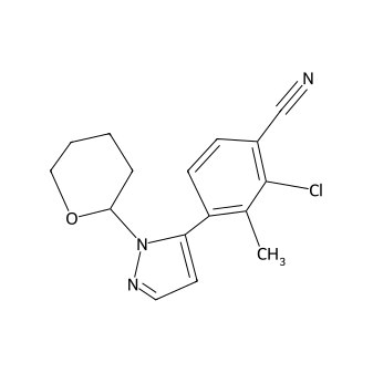 Cc1c(-c2ccnn2C2CCCCO2)ccc(C#N)c1Cl